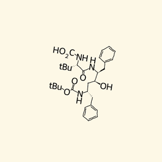 CC(C)(C)OC(=O)N[C@@H](Cc1ccccc1)C[C@H](O)[C@H](Cc1ccccc1)NC(=O)[C@@H](NC(=O)O)C(C)(C)C